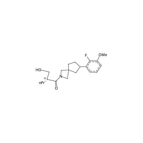 CCC[C@H](CO)C(=O)N1CC2(CCC(c3cccc(OC)c3F)C2)C1